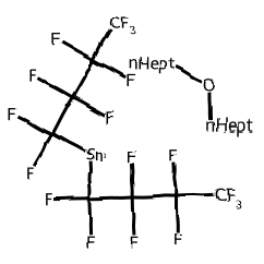 CCCCCCCOCCCCCCC.FC(F)(F)C(F)(F)C(F)(F)[C](F)(F)[Sn][C](F)(F)C(F)(F)C(F)(F)C(F)(F)F